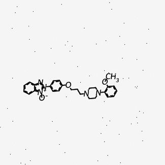 COc1ccccc1N1CCN(CCCOc2ccc(-n3nc4ccccc4[n+]3[O-])cc2)CC1